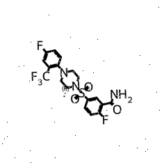 C[C@@H]1CN(c2ccc(F)cc2C(F)(F)F)CCN1S(=O)(=O)c1ccc(F)c(C(N)=O)c1